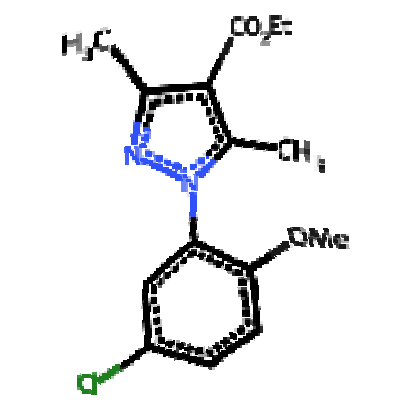 CCOC(=O)c1c(C)nn(-c2cc(Cl)ccc2OC)c1C